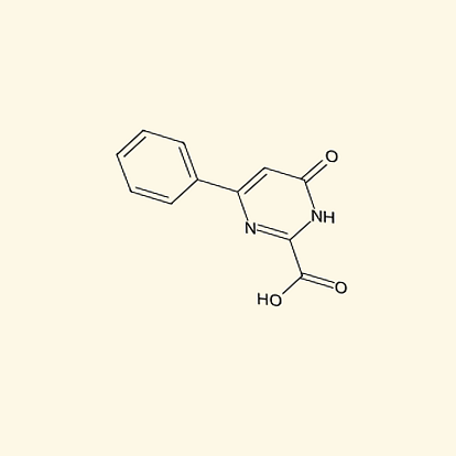 O=C(O)c1nc(-c2ccccc2)cc(=O)[nH]1